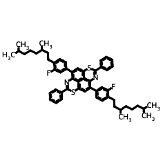 CC(C)CCCC(C)CCc1ccc(-c2cc3c4c(c(-c5ccc(CCC(C)CCCC(C)C)c(F)c5)cc5c4c2N=C(c2ccccc2)S5)N=C(c2ccccc2)S3)cc1F